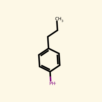 CCCc1ccc([PH])cc1